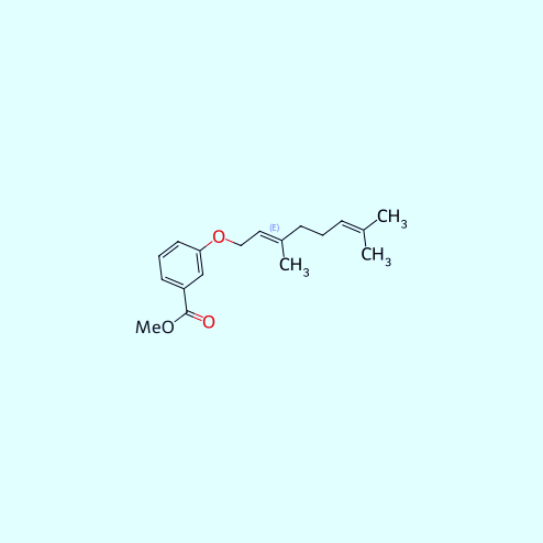 COC(=O)c1cccc(OC/C=C(\C)CCC=C(C)C)c1